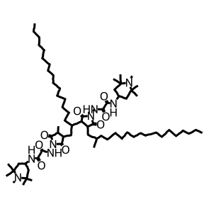 CCCCCCCCCCCCCCCCC(C)CC1C(=O)N(NC(=O)C(=O)NC2CC(C)(C)N(C)C(C)(C)C2)C(=O)C1C(CCCCCCCCCCCCCCCC)CC1C(=O)N(NC(=O)C(=O)NC2CC(C)(C)N(C)C(C)(C)C2)C(=O)C1C